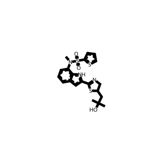 CN(c1cccc2cc(C3=NCC(CC(C)(C)O)S3)[nH]c12)S(=O)(=O)c1cccs1